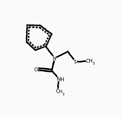 CNC(=O)N(CSC)c1ccccc1